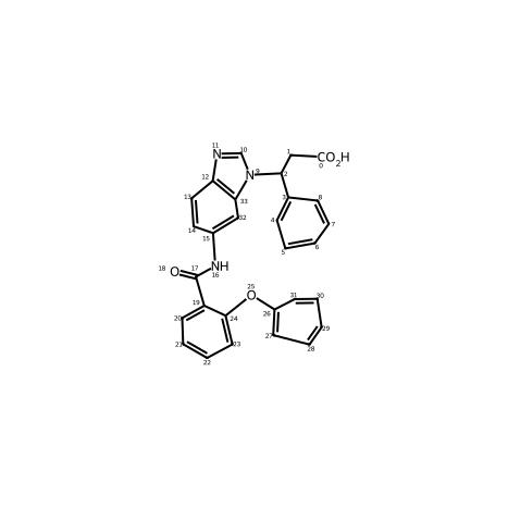 O=C(O)CC(c1ccccc1)n1cnc2ccc(NC(=O)c3ccccc3Oc3ccccc3)cc21